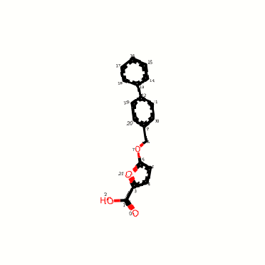 O=C(O)c1ccc(OCc2ccc(-c3ccccc3)cc2)o1